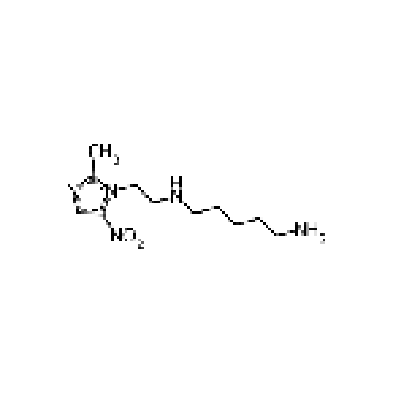 Cc1ncc([N+](=O)[O-])n1CCNCCCCCN